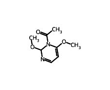 COC1=CC=NC(OC)N1C(C)=O